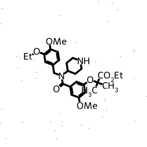 CCOC(=O)C(C)(C)Oc1cc(OC)cc(C(=O)N(Cc2ccc(OC)c(OCC)c2)C2CCNCC2)c1